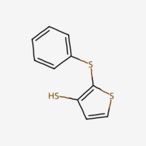 Sc1ccsc1Sc1ccccc1